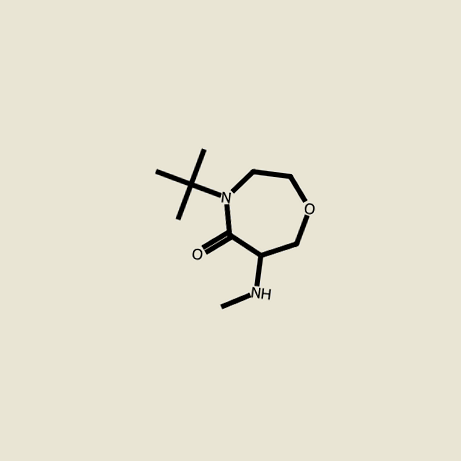 CNC1COCCN(C(C)(C)C)C1=O